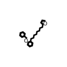 c1ccc(COc2ccccc2CCCCCCCCc2ccco2)cc1